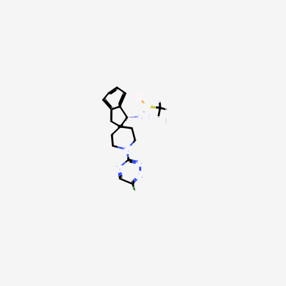 CC(C)(C)[S+]([O-])N[C@@H]1c2ccccc2CC12CCN(c1ncc(Cl)nn1)CC2